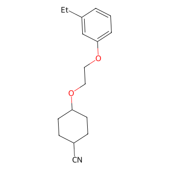 CCc1cccc(OCCOC2CCC(C#N)CC2)c1